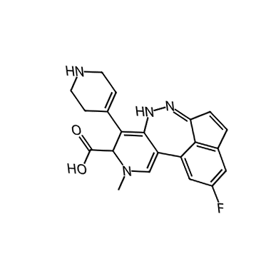 CN1C=C2C(=C(C3=CCNCC3)C1C(=O)O)NN=C1C=Cc3cc(F)cc2c31